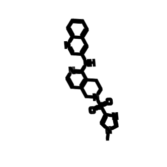 Cn1cnc(S(=O)(=O)N2CCc3c(ccnc3Nc3cnc4ccccc4c3)C2)c1